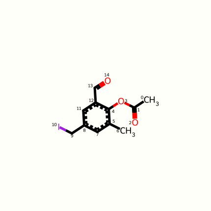 CC(=O)Oc1c(C)cc(CI)cc1C=O